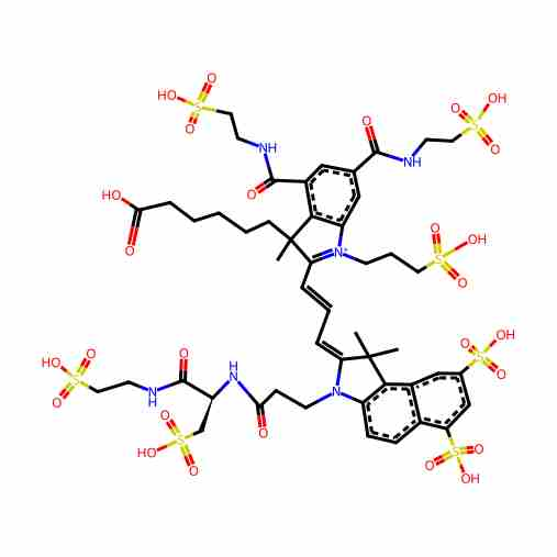 CC1(CCCCCC(=O)O)C(/C=C/C=C2/N(CCC(=O)N[C@@H](CS(=O)(=O)O)C(=O)NCCS(=O)(=O)O)c3ccc4c(S(=O)(=O)O)cc(S(=O)(=O)O)cc4c3C2(C)C)=[N+](CCCS(=O)(=O)O)c2cc(C(=O)NCCS(=O)(=O)O)cc(C(=O)NCCS(=O)(=O)O)c21